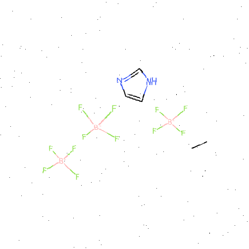 CC.F[B-](F)(F)F.F[B-](F)(F)F.F[B-](F)(F)F.c1c[nH]cn1